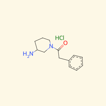 Cl.NC1CCCN(C(=O)Cc2ccccc2)C1